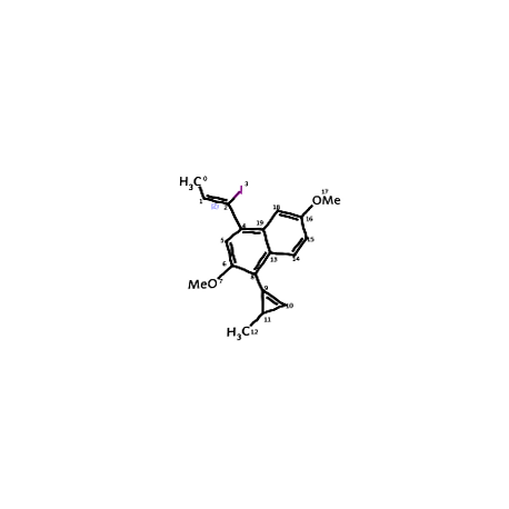 C/C=C(\I)c1cc(OC)c(C2=CC2C)c2ccc(OC)cc12